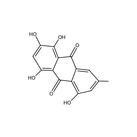 Cc1cc(O)c2c(c1)C(=O)c1c(O)c(O)cc(O)c1C2=O